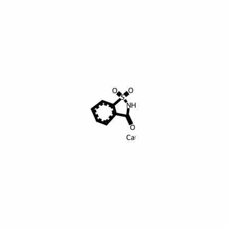 O=C1NS(=O)(=O)c2ccccc21.[Ca]